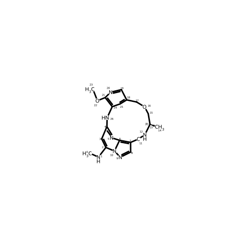 CNc1cc2nc3c(cnn13)CN[C@H](C)COCc1cnc(OC)c(c1)N2